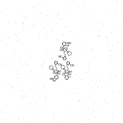 Cc1cccc(Cl)c1S(=O)(=O)NC(CCn1cccc1C#N)C(=O)N1CCCCC1.N#Cc1cccn1CCC(NS(=O)(=O)c1ccc2cc[nH]c2c1)C(=O)N1CCCCC1.N#Cc1cccn1CCC(NS(=O)(=O)c1cccc2[nH]ccc12)C(=O)N1CCCCC1